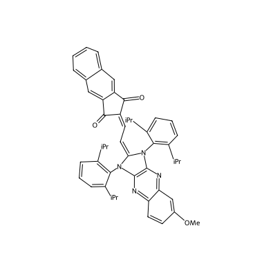 COc1ccc2nc3c(nc2c1)N(c1c(C(C)C)cccc1C(C)C)/C(=C\C=C1C(=O)c2cc4ccccc4cc2C1=O)N3c1c(C(C)C)cccc1C(C)C